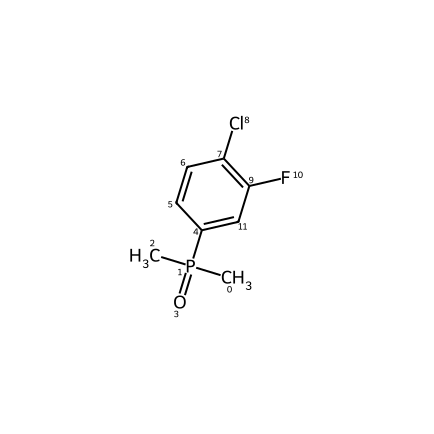 CP(C)(=O)c1ccc(Cl)c(F)c1